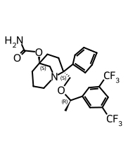 C[C@@H](OC[C@@]1(c2ccccc2)CC[C@@]2(OC(N)=O)CCCN1C2)c1cc(C(F)(F)F)cc(C(F)(F)F)c1